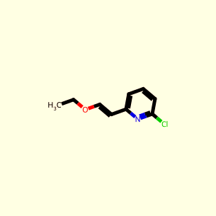 CCOC=Cc1cccc(Cl)n1